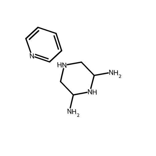 NC1CNCC(N)N1.c1ccncc1